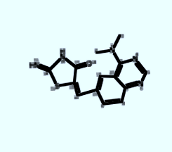 CN(C)c1ncnc2ccc(C=C3SC(=N)NC3=O)cc12